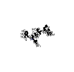 CC1=NC2=CN(S(=O)(=O)O)NN2C(SCC2=C(C(=O)O)N3C(=O)[C@@H](NC(=O)/C(=N\OCc4ccc(O)c(O)c4C(=O)O)c4csc(N)n4)[C@H]3SC2)=C1